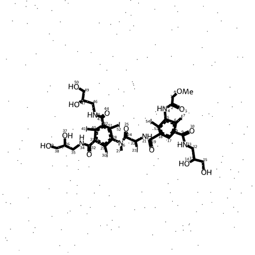 COCC(=O)Nc1c(I)c(C(=O)NCC(O)CO)cc(C(=O)NC(I)C(=O)N(C)c2c(I)c(C(=O)NCC(O)CO)c(I)c(C(=O)NCC(O)CO)c2I)c1I